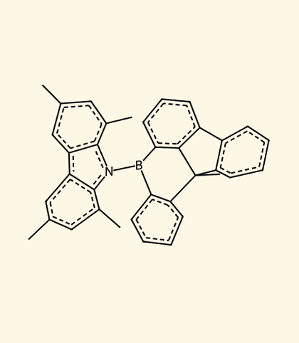 Cc1cc(C)c2c(c1)c1cc(C)cc(C)c1n2B1c2ccccc2C2(C)c3ccccc3-c3cccc1c32